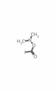 CN(C)OC(=O)I